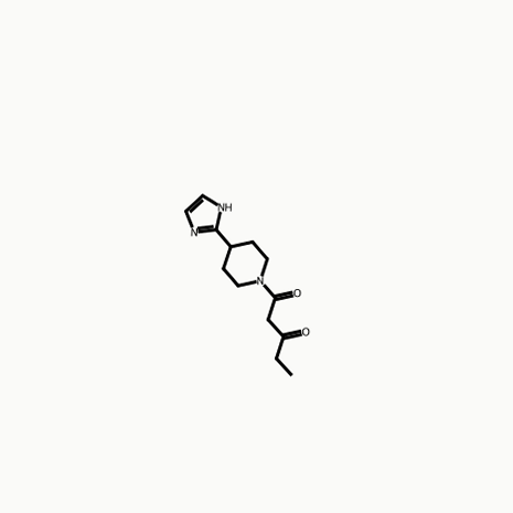 CCC(=O)CC(=O)N1CCC(c2ncc[nH]2)CC1